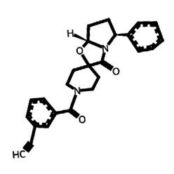 C#Cc1cccc(C(=O)N2CCC3(CC2)O[C@@H]2CC[C@@H](c4ccccc4)N2C3=O)c1